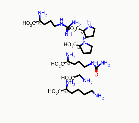 N=C(N)NCCC[C@H](N)C(=O)O.NC(=O)NCCC[C@H](N)C(=O)O.NCC(=O)O.NCCCC[C@H](N)C(=O)O.O=C(O)[C@@H]1CCCN1.O=C(O)[C@@H]1CCCN1